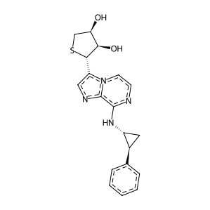 O[C@@H]1[C@H](O)CS[C@H]1c1cnc2c(N[C@@H]3C[C@H]3c3ccccc3)nccn12